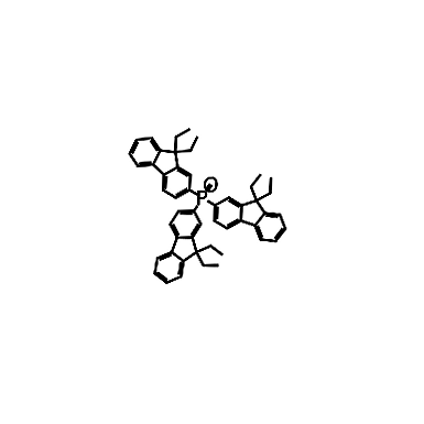 CCC1(CC)c2ccccc2-c2ccc(P(=O)(c3ccc4c(c3)C(CC)(CC)c3ccccc3-4)c3ccc4c(c3)C(CC)(CC)c3ccccc3-4)cc21